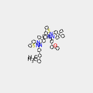 CC1(C)c2ccccc2-c2ccc(-c3ccc(-c4nc(-c5cccc6c5-c5ccccc5C6(C)Cc5cc(-c6nc(-c7ccc(-c8cccc9c8oc8ccccc89)cc7)nc(-c7cccc8c7-c7ccccc7C8(c7ccccc7)c7ccccc7)n6)c6sc7ccccc7c6c5)nc(-c5cccc6c5sc5ccccc56)n4)cc3)cc21